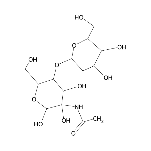 CC(=O)NC1(O)C(O)OC(CO)C(OC2CC(O)C(O)C(CO)O2)C1O